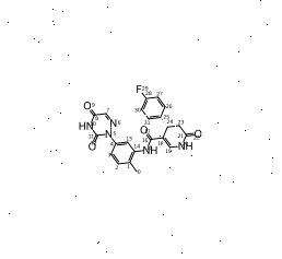 Cc1ccc(-n2ncc(=O)[nH]c2=O)cc1NC(=O)C1=CNC(=O)C[C@H]1c1ccc(F)cc1